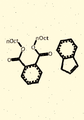 C1=Cc2ccccc2C1.CCCCCCCCOC(=O)c1ccccc1C(=O)OCCCCCCCC